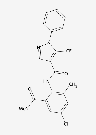 CNC(=O)c1cc(Cl)cc(C)c1NC(=O)c1cnn(-c2ccccc2)c1C(F)(F)F